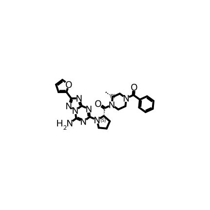 C[C@@H]1CN(C(=O)c2ccccc2)CCN1C(=O)[C@@H]1CCCN1c1nc(N)n2nc(-c3ccco3)nc2n1